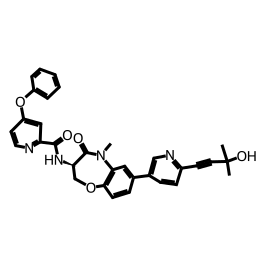 CN1C(=O)[C@H](NC(=O)c2cc(Oc3ccccc3)ccn2)COc2ccc(-c3ccc(C#CC(C)(C)O)nc3)cc21